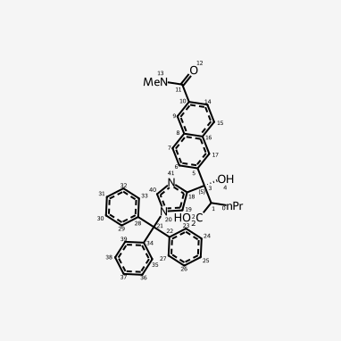 CCCC(C(=O)O)[C@](O)(c1ccc2cc(C(=O)NC)ccc2c1)c1cn(C(c2ccccc2)(c2ccccc2)c2ccccc2)cn1